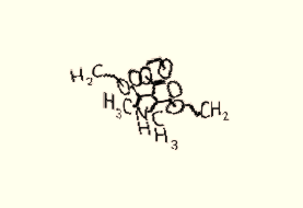 C=CCOC(=O)C1=C(C)NC(C)=C(C(=O)OCC=C)C1C1=COCCO1